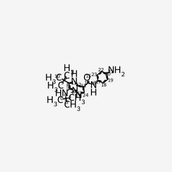 CC(C)(C)Nc1c(C(C)(C)C)[nH]c2c(C(=O)Nc3ccc(N)cc3)cnn12